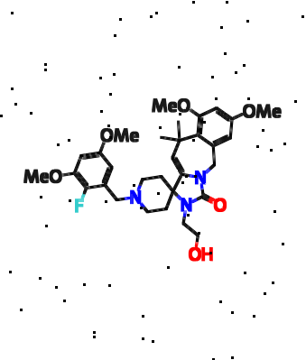 COc1cc(CN2CCC3(CC2)C2=CC(C)(C)c4c(cc(OC)cc4OC)CN2C(=O)N3CCO)c(F)c(OC)c1